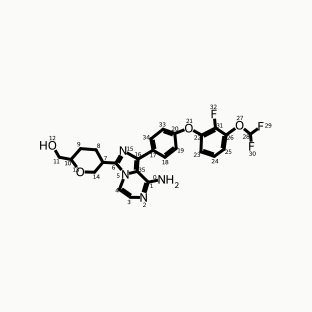 Nc1nccn2c(C3CCC(CO)OC3)nc(-c3ccc(Oc4cccc(OC(F)F)c4F)cc3)c12